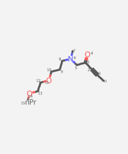 CC#CC(=O)CN(C)CCCOCCOCCC